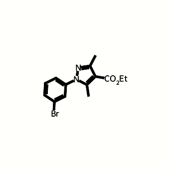 CCOC(=O)c1c(C)nn(-c2cccc(Br)c2)c1C